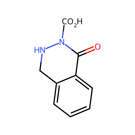 O=C(O)N1NCc2ccccc2C1=O